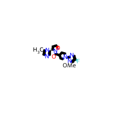 COc1nc(N2CCC(C(=O)N3OCC[C@H]3c3cncc(C)n3)CC2)ncc1F